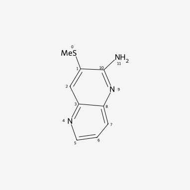 CSc1cc2ncccc2nc1N